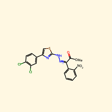 COC(=O)/C(=N\Nc1nc(-c2ccc(Cl)c(Cl)c2)cs1)c1ccccc1[N+](=O)[O-]